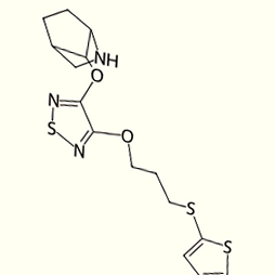 c1csc(SCCCOc2nsnc2OC2C3CCC2NC3)c1